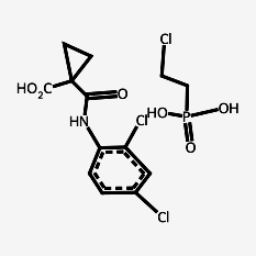 O=C(O)C1(C(=O)Nc2ccc(Cl)cc2Cl)CC1.O=P(O)(O)CCCl